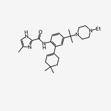 CCN1CCN(C(C)(C)c2ccc(NC(=O)c3nc(C)c[nH]3)c(C3=CCC(C)(C)CC3)c2)CC1